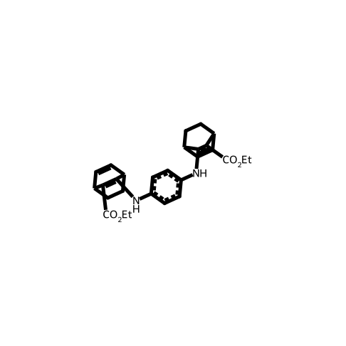 CCOC(=O)C1=C(Nc2ccc(NC3=C(C(=O)OCC)C4C=CC3CC4)cc2)C2C=CC1CC2